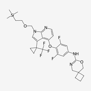 C[Si](C)(C)CCOCn1cc(C2(C(F)(F)F)CC2)c2c(Oc3c(F)cc(NC4=NCC5(CCC5)CO4)cc3F)ccnc21